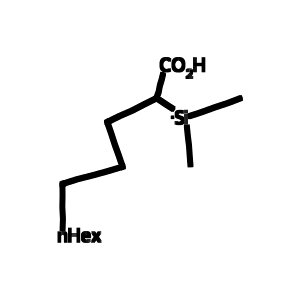 CCCCCCCCCC(C(=O)O)[Si](C)C